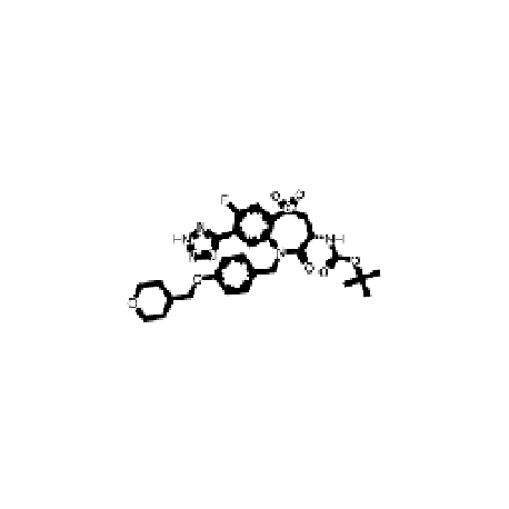 CC(C)(C)OC(=O)N[C@H]1CS(=O)(=O)c2cc(F)c(-c3nn[nH]n3)cc2N(Cc2ccc(OCC3CCOCC3)cc2)C1=O